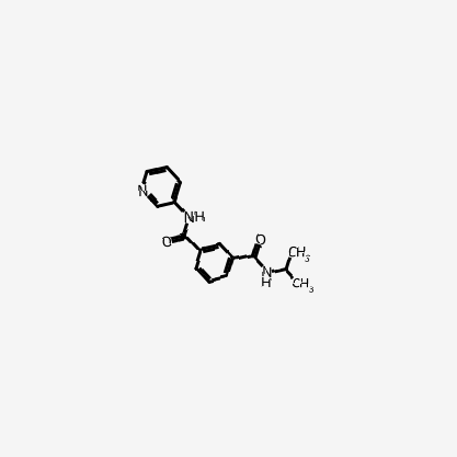 CC(C)NC(=O)c1cccc(C(=O)Nc2cccnc2)c1